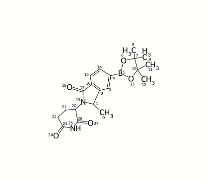 CC1c2cc(B3OC(C)(C)C(C)(C)O3)ccc2C(=O)N1C1CCC(=O)NC1=O